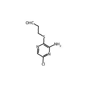 Nc1nc(Cl)cnc1SCCC=O